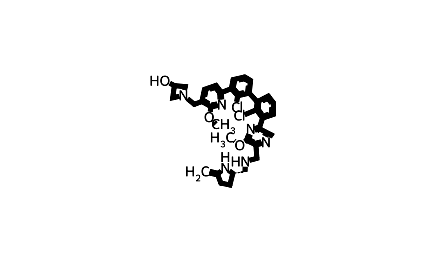 C=C1CC[C@@H](CNCc2ncc(-c3cccc(-c4cccc(-c5ccc(CN6CC(O)C6)c(OC)n5)c4Cl)c3Cl)nc2OC)N1